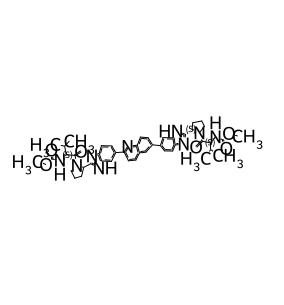 COC(=O)N[C@H](C(=O)N1CCCC1c1nc2ccc(-c3ccc4cc(-c5ccc6nc([C@@H]7CCCN7C(=O)[C@@H](NC(=O)OC)C(C)C)[nH]c6c5)ccc4n3)cc2[nH]1)C(C)C